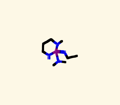 CCN=P1(N(C)C)NCCCN1C